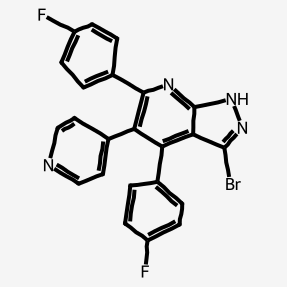 Fc1ccc(-c2nc3[nH]nc(Br)c3c(-c3ccc(F)cc3)c2-c2ccncc2)cc1